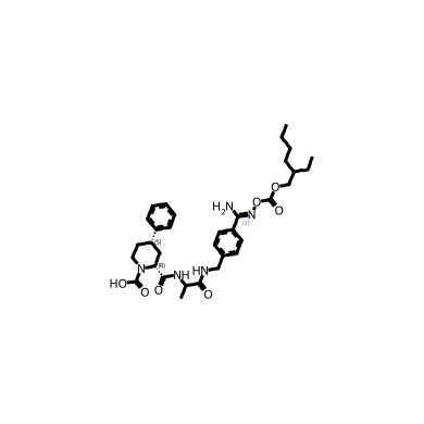 CCCCC(CC)COC(=O)O/N=C(\N)c1ccc(CNC(=O)C(C)NC(=O)[C@H]2C[C@@H](c3ccccc3)CCN2C(=O)O)cc1